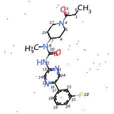 CCC(=O)N1CCC(N(C)C(=O)Nc2cnc(-c3cccc(F)c3)cn2)CC1